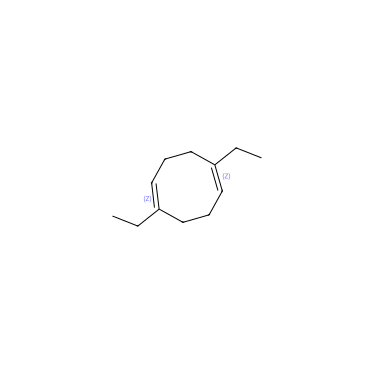 CC/C1=C/CC/C(CC)=C\CC1